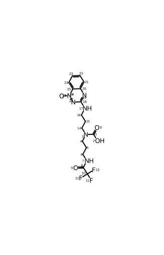 O=C(O)N(CCCNC(=O)C(F)(F)F)CCCNc1nc2ccccc2[n+]([O-])n1